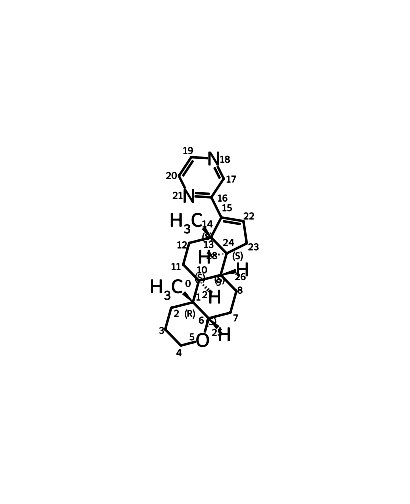 C[C@]12CCCO[C@H]1CC[C@@H]1[C@@H]2CC[C@]2(C)C(c3cnccn3)=CC[C@@H]12